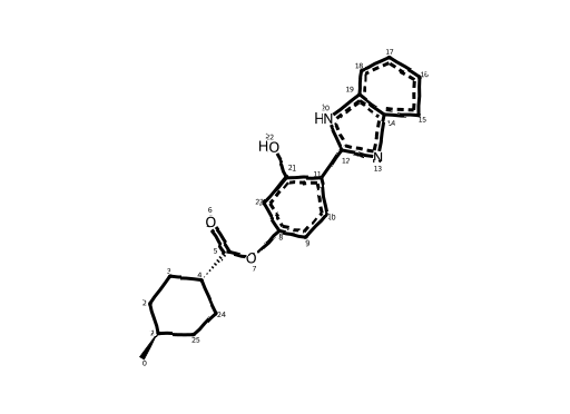 C[C@H]1CC[C@H](C(=O)Oc2ccc(-c3nc4ccccc4[nH]3)c(O)c2)CC1